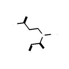 C=CC(=O)N(CCCCCC)CCC(=O)OCC(C)C